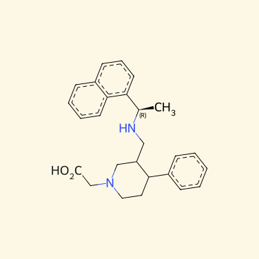 C[C@@H](NCC1CN(CC(=O)O)CCC1c1ccccc1)c1cccc2ccccc12